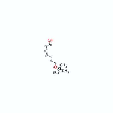 CC(C)(C)[Si](C)(C)OCCCC=C=CCO